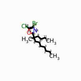 CCCCCCCC(C)(CCCC)c1nc(Br)c(Cl)o1